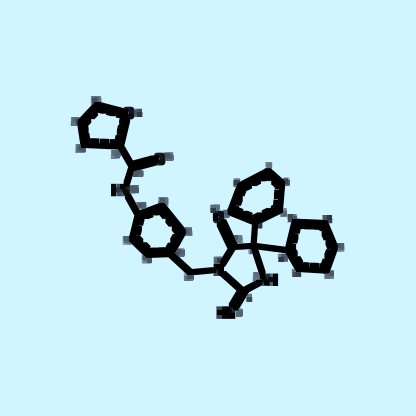 N=C1NC(c2ccccc2)(c2ccccc2)C(=O)N1Cc1ccc(NC(=O)c2ccco2)cc1